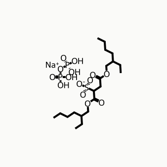 CCCCC(CC)COC(=O)CC(C(=O)OCC(CC)CCCC)S(=O)(=O)[O-].O=P(O)(O)OP(=O)(O)O.[Na+]